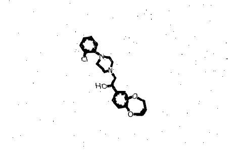 OC(CN1CCN(c2ccccc2Cl)CC1)c1ccc2c(c1)OCC=CO2